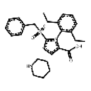 C1CCNCC1.CCc1cccc(CC)c1-n1c(C(=O)O)cnc1S(=O)(=O)Cc1ccccc1